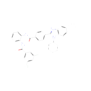 O=C(O)c1ccc2c(c1)nc(-c1ccc(C(=O)Nc3ccccc3NC(=O)c3cc(Cl)cc(Cl)c3)cc1)n2C1CCCCC1